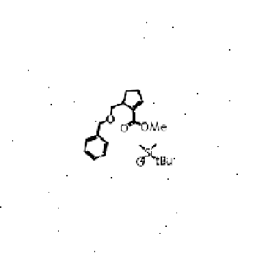 CC(C)(C)[Si](C)(C)[O].COC(=O)C1=CCCC1COCc1ccccc1